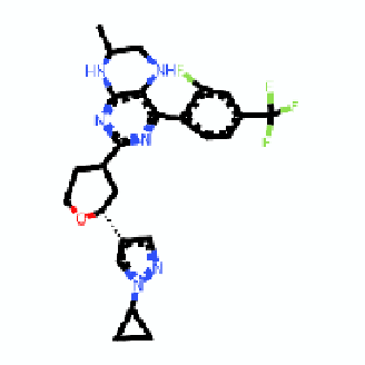 CC1CNc2c(nc(C3CCO[C@@H](c4cnn(C5CC5)c4)C3)nc2-c2ccc(C(F)(F)F)cc2F)N1